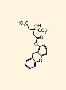 O=C(O)CC(O)(CC(=O)Oc1cccc2c1Cc1ccccc1O2)C(=O)O